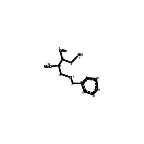 COC(CO)C(COCc1ccccc1)OC